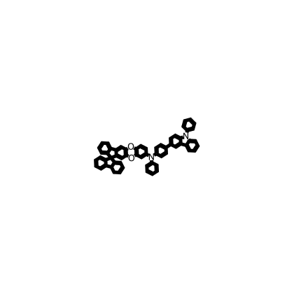 C1=CCC2C(=C1)C1(c3ccccc3-c3cc4c(cc31)Oc1cc(N(c3ccccc3)c3ccc(-c5ccc6c(c5)c5ccccc5n6-c5ccccc5)cc3)ccc1O4)c1ccccc12